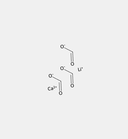 O=C[O-].O=C[O-].O=C[O-].[Ca+2].[Li+]